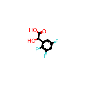 O=C(O)C(O)c1cc(F)cc(F)c1F